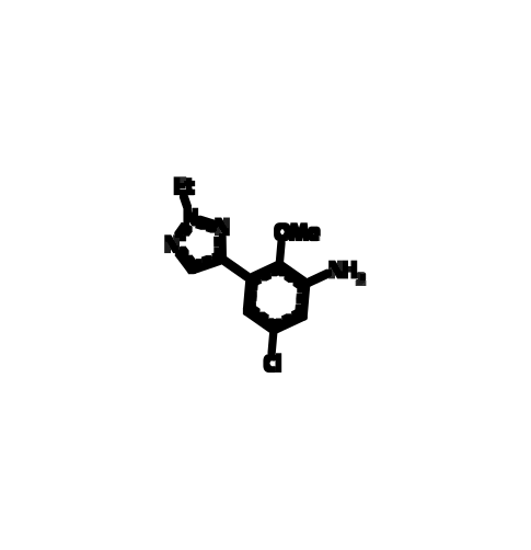 CCn1ncc(-c2cc(Cl)cc(N)c2OC)n1